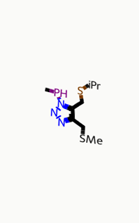 CPn1nnc(CSC)c1CSC(C)C